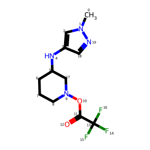 Cn1cc(NC2CCCN(OC(=O)C(F)(F)F)C2)cn1